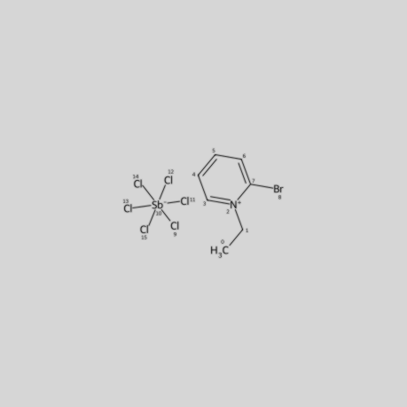 CC[n+]1ccccc1Br.[Cl][Sb-]([Cl])([Cl])([Cl])([Cl])[Cl]